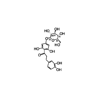 O=C(CCc1ccc(O)c(O)c1)c1c(O)cc(O[C@@H]2O[C@H](CO)[C@@H](O)[C@H](O)[C@H]2O)cc1O